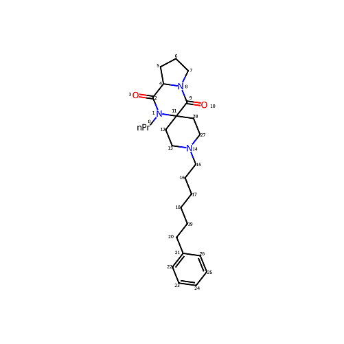 CCCN1C(=O)C2CCCN2C(=O)C12CCN(CCCCCCc1ccccc1)CC2